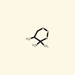 CC1CSSSC1(C)N